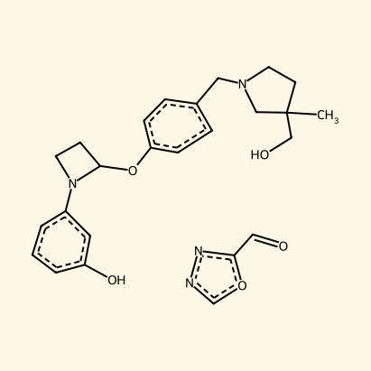 CC1(CO)CCN(Cc2ccc(OC3CCN3c3cccc(O)c3)cc2)C1.O=Cc1nnco1